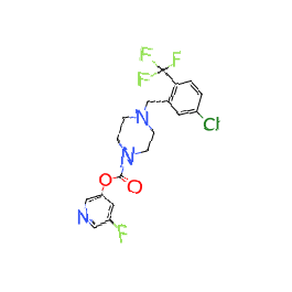 O=C(Oc1cncc(F)c1)N1CCN(Cc2cc(Cl)ccc2C(F)(F)F)CC1